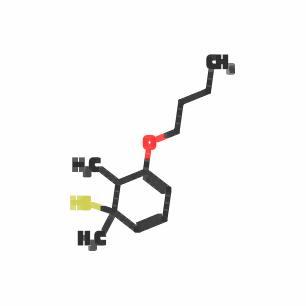 CCCCOC1=CC=CC(C)(S)C1C